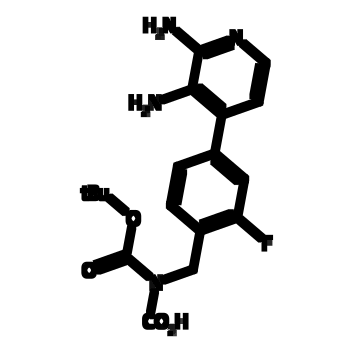 CC(C)(C)OC(=O)N(Cc1ccc(-c2ccnc(N)c2N)cc1F)C(=O)O